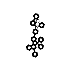 c1ccc(-c2cc3c(c4ccccc24)-c2ccc(-c4ccc(N(c5ccccc5)c5cccc6c5oc5ccccc56)cc4)cc2C3(c2ccccc2)c2ccccc2)cc1